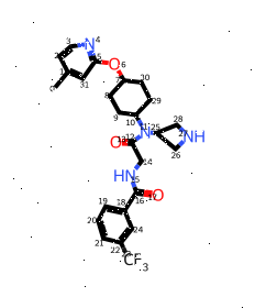 Cc1ccnc(OC2CCC(N(C(=O)CNC(=O)c3cccc(C(F)(F)F)c3)C3CNC3)CC2)c1